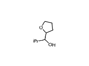 CC(C)C(O)C1CCCO1